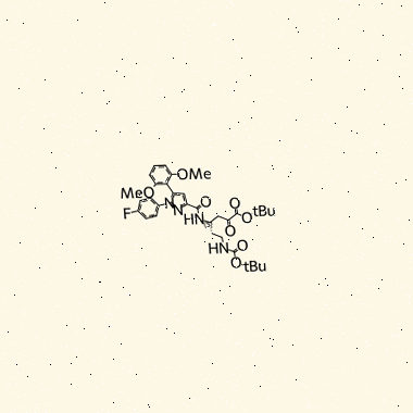 COc1cccc(OC)c1-c1cc(C(=O)N[C@@H](CCNC(=O)OC(C)(C)C)CC(=O)C(=O)OC(C)(C)C)nn1-c1ccc(F)cc1